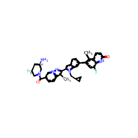 Cc1c(-c2ccc3cc(-c4nn5cc(C(=O)N6C[C@H](N)C[C@@H](F)C6)ccc5c4C)n(CC4CC4)c3c2)cc(F)c2[nH]c(=O)ccc12